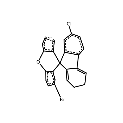 Clc1ccc2c(c1)C1(C3=CCCC=C32)c2ccccc2Oc2ccc(Br)cc21